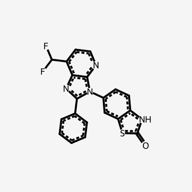 O=c1[nH]c2ccc(-n3c(-c4ccccc4)nc4c(C(F)F)ccnc43)cc2s1